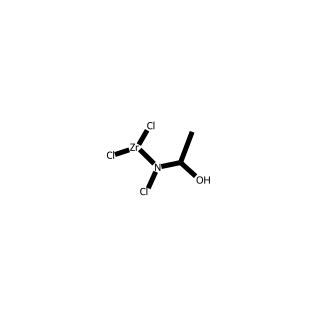 CC(O)[N](Cl)[Zr]([Cl])[Cl]